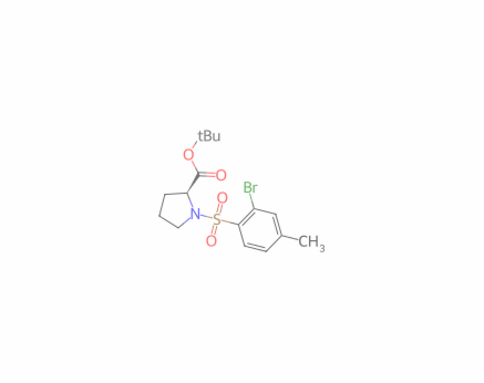 Cc1ccc(S(=O)(=O)N2CCC[C@H]2C(=O)OC(C)(C)C)c(Br)c1